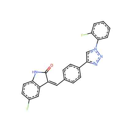 O=C1Nc2ccc(F)cc2C1=Cc1ccc(-c2cn(-c3ccccc3F)nn2)cc1